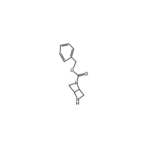 O=C(OCc1ccccc1)N1CC2NCC21